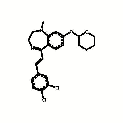 CN1CCN=C(C=Cc2ccc(Cl)c(Cl)c2)c2ccc(OC3CCCCO3)cc21